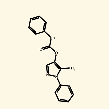 Cc1c(OC(=O)Nc2ccccc2)cnn1-c1ccccc1